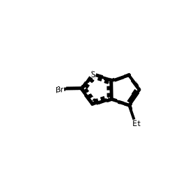 CCC1=CCc2sc(Br)cc21